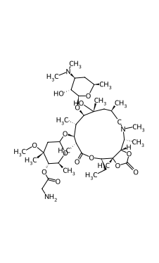 CC[C@H]1OC(=O)[C@H](C)[C@@H](OC2C[C@@](C)(OC)[C@@H](OC(=O)CN)[C@H](C)O2)[C@H](C)[C@@H](O[C@@H]2O[C@H](C)C[C@H](N(C)C)[C@H]2O)[C@](C)(O)C[C@@H](C)CN(C)[C@H](C)[C@@H]2OC(=O)O[C@]12C